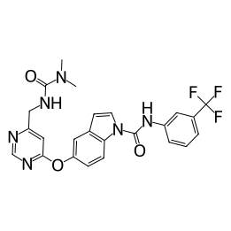 CN(C)C(=O)NCc1cc(Oc2ccc3c(ccn3C(=O)Nc3cccc(C(F)(F)F)c3)c2)ncn1